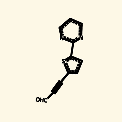 O=CC#Cc1ccc(-c2ncccn2)s1